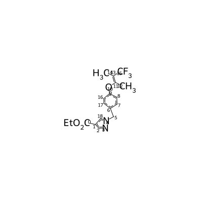 CCOC(=O)c1cnn(Cc2ccc(O/C(C)=C(\C)C(F)(F)F)cc2)c1